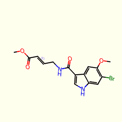 COC(=O)/C=C/CNC(=O)c1c[nH]c2cc(Br)c(OC)cc12